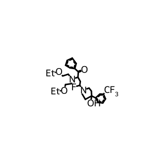 CCOCCN(CCOCC)C(CC(F)N1CCC(O)(c2cccc(C(F)(F)F)c2)CC1)C(=O)c1ccccc1